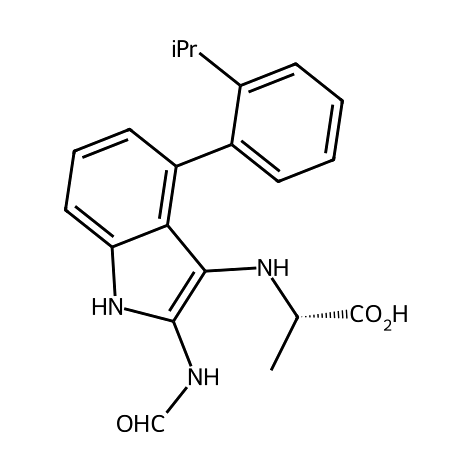 CC(C)c1ccccc1-c1cccc2[nH]c(NC=O)c(N[C@@H](C)C(=O)O)c12